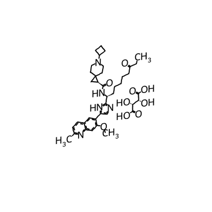 CCC(=O)CCCCC[C@H](NC(=O)[C@H]1CC12CCN(C1CCC1)CC2)c1ncc(-c2cc3ccc(C)nc3cc2OC)[nH]1.O=C(O)[C@H](O)[C@@H](O)C(=O)O